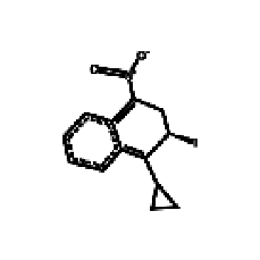 O=[N+]([O-])C1=c2ccccc2=C(C2CC2)[C@H](I)C1